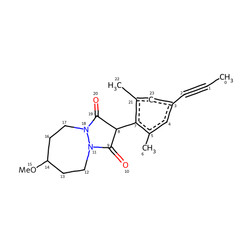 CC#Cc1cc(C)c(C2C(=O)N3CCC(OC)CCN3C2=O)c(C)c1